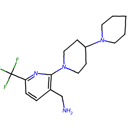 NCc1ccc(C(F)(F)F)nc1N1CCC(N2CCCCC2)CC1